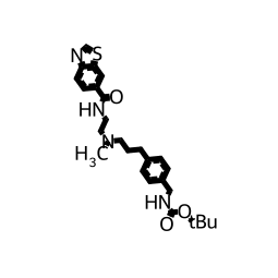 CN(CCCc1ccc(CNC(=O)OC(C)(C)C)cc1)CCNC(=O)c1ccc2ncsc2c1